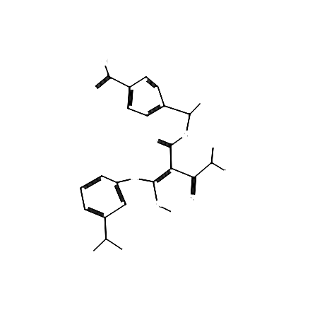 CN/C(Oc1cccc(C(C)C)c1)=C(\C(=N)C(F)F)C(=O)NC(C)c1ccc(C(=O)O)cc1